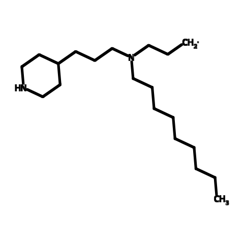 [CH2]CCN(CCCCCCCCC)CCCC1CCNCC1